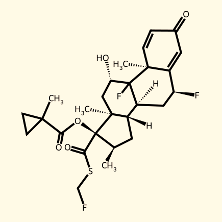 C[C@@H]1C[C@H]2[C@@H]3C[C@H](F)C4=CC(=O)C=C[C@]4(C)C3(F)[C@@H](O)C[C@]2(C)[C@@]1(OC(=O)C1(C)CC1)C(=O)SCF